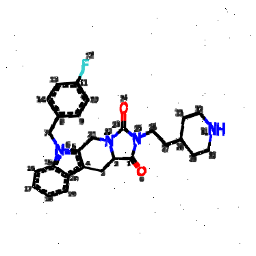 O=C1C2Cc3c(n(Cc4ccc(F)cc4)c4ccccc34)CN2C(=O)N1CCC1CCNCC1